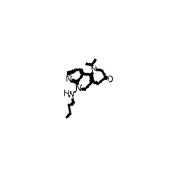 CCCCNN1CC2=C(c3cccnc31)N(C(C)C)CC(=O)C2